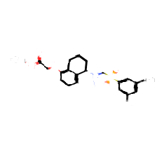 CC(C)c1cc(C(F)(F)F)cc(S(=O)(=O)CN[C@@H]2CCCc3c(OCC(=O)OC(C)(C)C)cccc32)c1